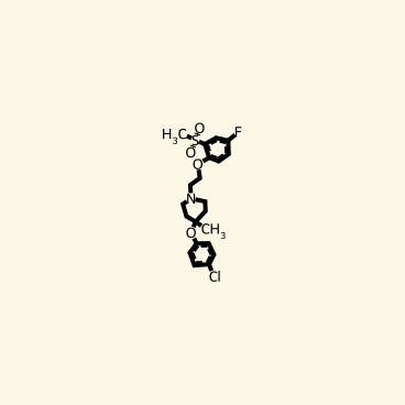 CC1(Oc2ccc(Cl)cc2)CCN(CCOc2ccc(F)cc2S(C)(=O)=O)CC1